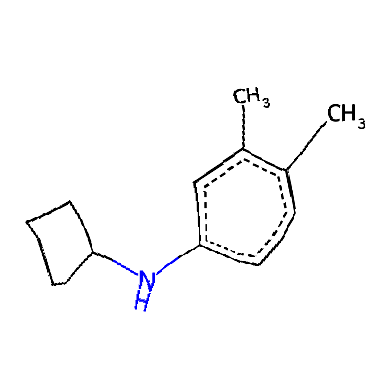 Cc1ccc(NC2CCC2)cc1C